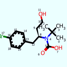 CC(C)(C)N(C(=O)O)[C@H](CCO)Cc1ccc(Br)cc1